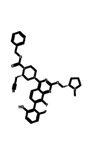 CN1CCC[C@H]1COc1nc(N2CCN(C(=O)OCc3ccccc3)[C@@H](CC#N)C2)c2ccc(-c3c(O)cccc3F)c(F)c2n1